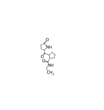 CCNC(=O)C1CCCC1C(=O)C1CCC(=O)N1